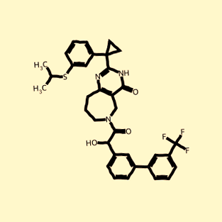 CC(C)Sc1cccc(C2(c3nc4c(c(=O)[nH]3)CN(C(=O)C(O)c3cccc(-c5cccc(C(F)(F)F)c5)c3)CCC4)CC2)c1